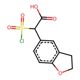 O=C(O)C(c1ccc2c(c1)CCO2)S(=O)(=O)Cl